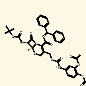 CC(=O)Oc1ccc(NC(=O)OCC2=C(C(=O)OC(c3ccccc3)c3ccccc3)N3C(=O)[C@H](NC(=O)OC(C)(C)C)[C@@H]3SC2)cc1OC(C)=O